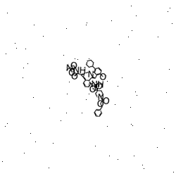 COc1ccc(C2CCCCC2)c2c1cc1n2CC2=C(C(=O)NS(=O)(=O)N(C)C)C2=C2C=CC[C@@H](NS(=O)(=O)C3CCN(C(=O)OCc4ccccc4)CC3)C21